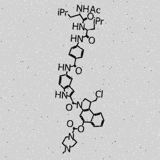 CC(=O)N[C@@H](CC(C)C)C(=O)N[C@@H](CC(C)C)C(=O)Nc1ccc(C(=O)Nc2ccc3[nH]c(C(=O)N4C[C@@H](CCl)c5c4cc(OC(=O)N4CCN(C)CC4)c4ccccc54)cc3c2)cc1